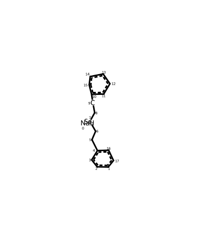 [NaH].c1ccc(CC[Se]CCc2ccccc2)cc1